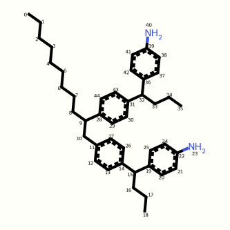 CCCCCCCCCC(Cc1ccc(C(CCC)c2ccc(N)cc2)cc1)c1ccc(C(CCC)c2ccc(N)cc2)cc1